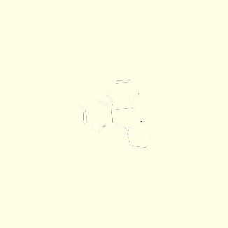 CC1(c2ccccc2)CCCN1c1ccc(Br)cc1